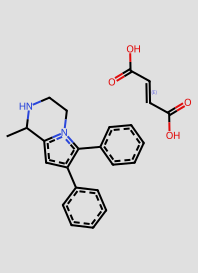 CC1NCCn2c1cc(-c1ccccc1)c2-c1ccccc1.O=C(O)/C=C/C(=O)O